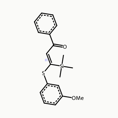 COc1cccc(S/C(=C/C(=O)c2ccccc2)[Si](C)(C)C)c1